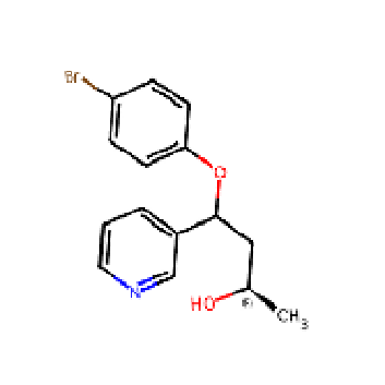 C[C@@H](O)CC(Oc1ccc(Br)cc1)c1cccnc1